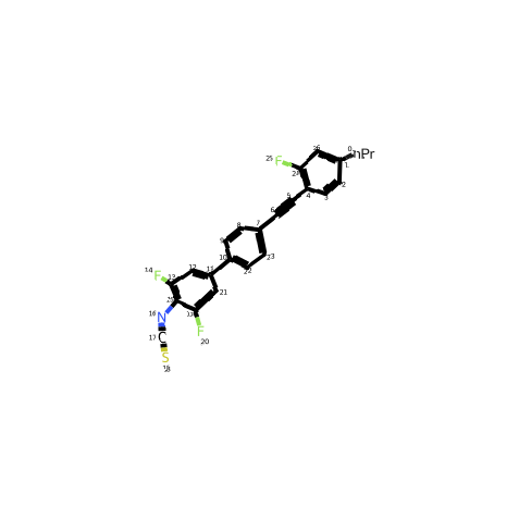 CCCc1ccc(C#Cc2ccc(-c3cc(F)c(N=C=S)c(F)c3)cc2)c(F)c1